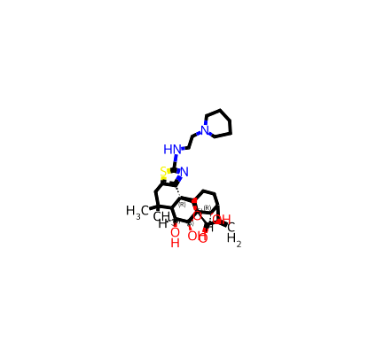 C=C1C(=O)[C@@]23C(CCC1[C@H]2O)[C@@]12CO[C@]3(O)[C@@H](O)C1C(C)(C)Cc1sc(NCCN3CCCCC3)nc12